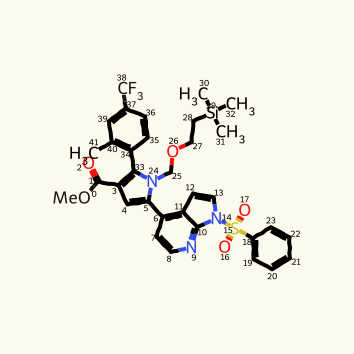 COC(=O)c1cc(-c2ccnc3c2ccn3S(=O)(=O)c2ccccc2)n(COCC[Si](C)(C)C)c1-c1ccc(C(F)(F)F)cc1C